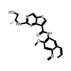 C=Nc1cc(OC)c(NC(=O)c2csc3cnc(N[C@H](C)CO)nc23)cc1/C=C\C